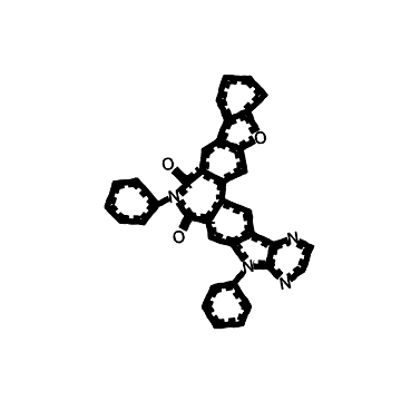 O=c1c2cc3c(cc2c2cc4c5nccnc5n(-c5ccccc5)c4cc2c(=O)n1-c1ccccc1)oc1ccccc13